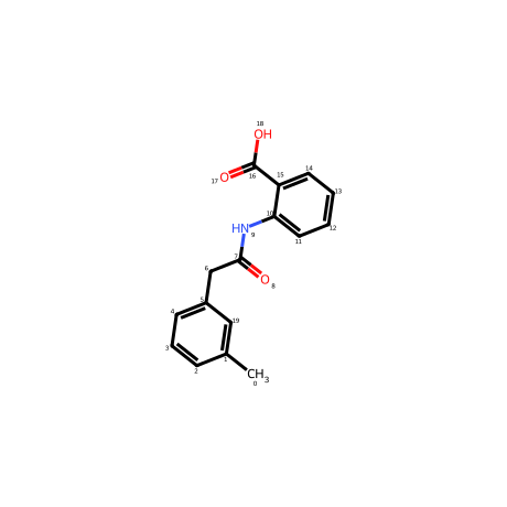 Cc1cccc(CC(=O)Nc2ccccc2C(=O)O)c1